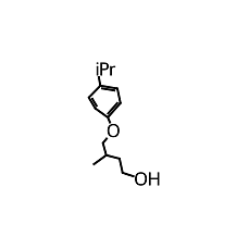 CC(CCO)COc1ccc(C(C)C)cc1